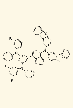 Fc1cc(F)cc(N(c2ccccc2)c2cc(-c3ccc(N(c4ccc5oc6ccccc6c5c4)c4ccc5sc6ccccc6c5c4)c4ccccc34)cc(N(c3ccccc3)c3cc(F)cc(F)c3)c2)c1